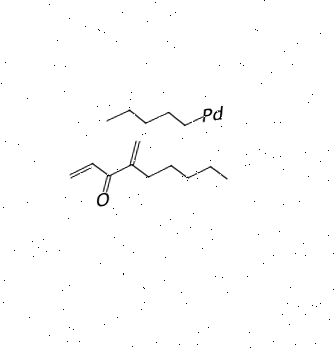 C=CC(=O)C(=C)CCCCC.CCCC[CH2][Pd]